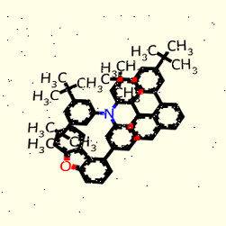 CC(C)(C)c1cc(-c2cccc3cccc(-c4ccccc4N(c4cccc(-c5cccc6oc7ccccc7c56)c4)c4cc(C(C)(C)C)cc(C(C)(C)C)c4)c23)cc(C(C)(C)C)c1